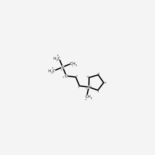 C[N+]1(CCO[Si](C)(C)C)CCCC1